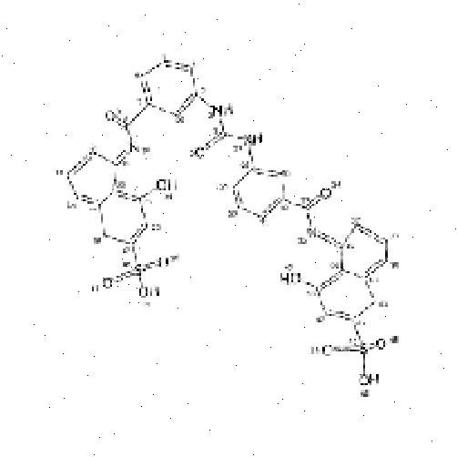 O=C(Nc1cccc(C(=O)N=C2C=CC=C3CC(S(=O)(=O)O)=CC(O)=C32)c1)Nc1cccc(C(=O)N=C2C=CC=C3CC(S(=O)(=O)O)=CC(O)=C32)c1